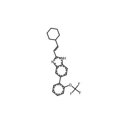 FC(F)(F)Oc1ccccc1-c1ccc2[nH]c(C=CC3CCCCC3)nc2c1